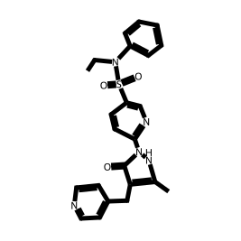 CCN(c1ccccc1)S(=O)(=O)c1ccc(-n2[nH]c(C)c(Cc3ccncc3)c2=O)nc1